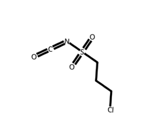 O=C=NS(=O)(=O)CCCCl